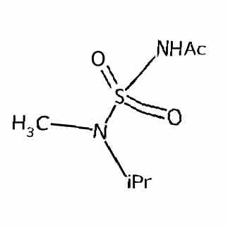 CC(=O)NS(=O)(=O)N(C)C(C)C